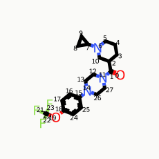 O=C(C1CCCN(C2CC2)C1)N1CCN(c2ccc(OC(F)(F)F)cc2)CC1